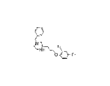 CCc1ccc(OCCCC2CN(Cc3ccccc3)CCN2)c(CC)c1